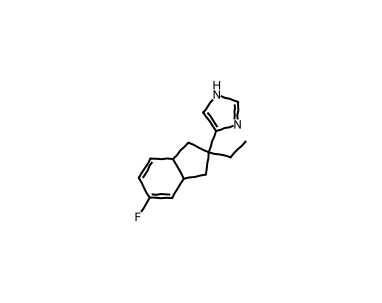 CCC1(c2c[nH]cn2)CC2C=CC(F)=CC2C1